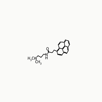 CN(C)CCCNC(=O)CCc1ccc2ccc3cccc4ccc1c2c34